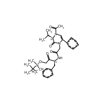 CC(=O)N1C=C(c2ccccc2)N(CC(=O)N[C@@H](Cc2ccccc2)C(=O)CO[Si](C)(C)C(C)(C)C)C(=O)[C@H]1C(C)C